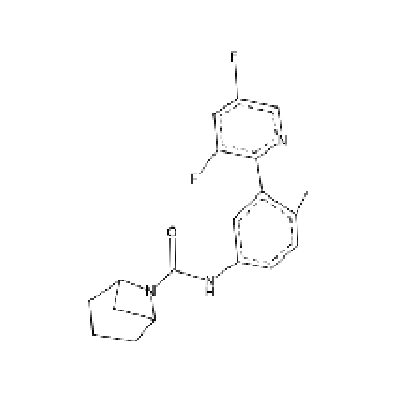 Cc1ccc(NC(=O)N2C3CCCC2C3)cc1-c1ncc(F)cc1F